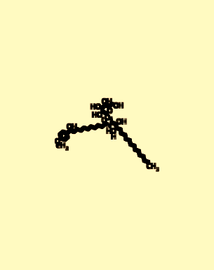 CCCCCCCCCCCCCC[C@@H](O)[C@@H](O)[C@H](CO[C@H]1OC(CO)[C@H](O)[C@H](O)C1O)NC(=O)CCCCCCCCC[C@H](O)c1ccc(OC)cc1